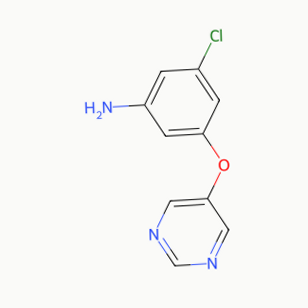 Nc1cc(Cl)cc(Oc2cncnc2)c1